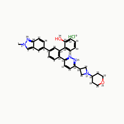 Cl.Cn1cc2cc(-c3ccc(-c4ccc(C5CN(C6CCOCC6)C5)nn4)c(-c4ccccc4O)c3)ccc2n1